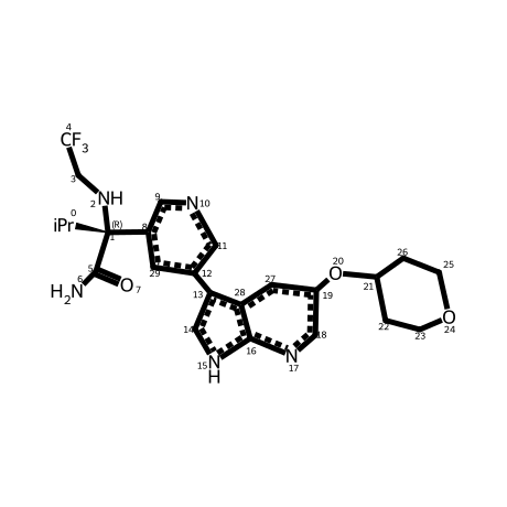 CC(C)[C@](NCC(F)(F)F)(C(N)=O)c1cncc(-c2c[nH]c3ncc(OC4CCOCC4)cc23)c1